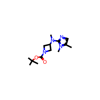 Cc1cnc(N(C)C2CN(C(=O)OC(C)(C)C)C2)n1C